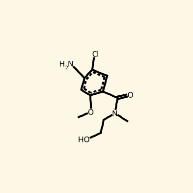 COc1cc(N)c(Cl)cc1C(=O)N(C)CCO